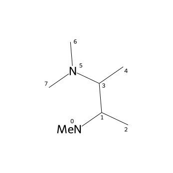 CNC(C)C(C)N(C)C